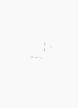 CC(C)C(=S)NC1CC1